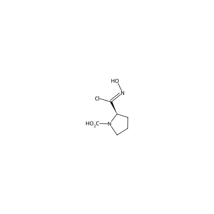 O=C(O)N1CCC[C@@H]1C(Cl)=NO